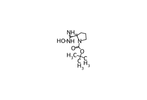 CC(C)(C)OC(=O)N1CCC[C@@H]1C(=N)NO